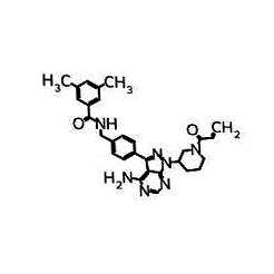 C=CC(=O)N1CCCC(n2nc(-c3ccc(CNC(=O)c4cc(C)cc(C)c4)cc3)c3c(N)ncnc32)C1